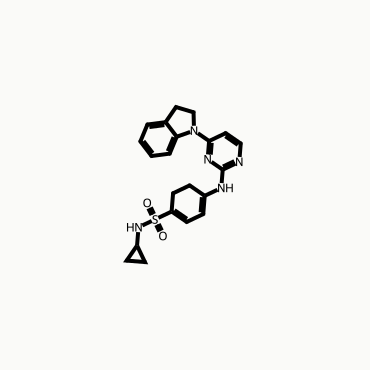 O=S(=O)(NC1CC1)C1=CC=C(Nc2nccc(N3CCc4ccccc43)n2)CC1